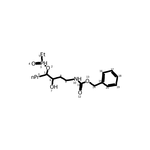 CCCC(O[PH](=O)CC)C(O)CCNC(=O)OCc1ccccc1